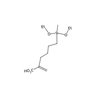 C=C(CCCC[Si](C)(OCC)OCC)C(=O)O